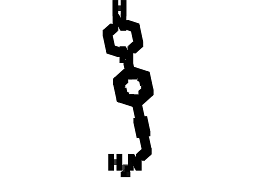 NCC#Cc1ccc(N2CCNCC2)cc1